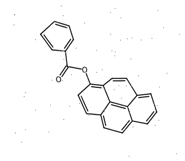 O=C(Oc1ccc2ccc3cccc4ccc1c2c34)c1ccccc1